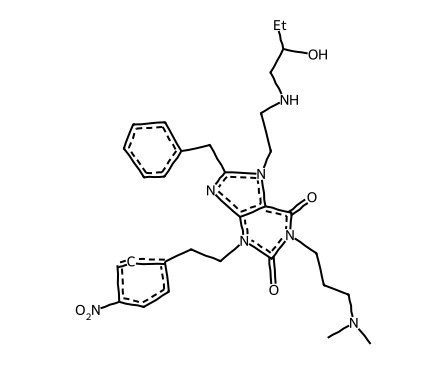 CCC(O)CNCCn1c(Cc2ccccc2)nc2c1c(=O)n(CCCN(C)C)c(=O)n2CCc1ccc([N+](=O)[O-])cc1